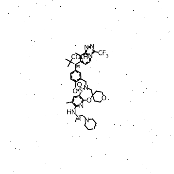 Cc1ccc([C@H](c2ccn3c(C(F)(F)F)nnc3c2C)C(C)(C)C(=O)O)cc1CN1CC2(CCOCC2)Oc2nc(N[C@H](C)CN3CCCCC3)c(C)cc2S1(=O)=O